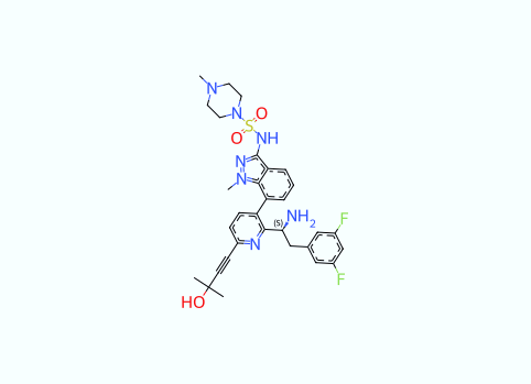 CN1CCN(S(=O)(=O)Nc2nn(C)c3c(-c4ccc(C#CC(C)(C)O)nc4[C@@H](N)Cc4cc(F)cc(F)c4)cccc23)CC1